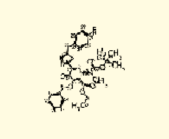 CCOC(=O)c1c(OCc2ccccc2)c(=O)c(-c2nnc(Cc3ccc(F)cc3)s2)cn1N(C)C(=O)OC(C)(C)C